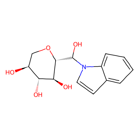 OC([C@H]1OC[C@H](O)[C@@H](O)[C@@H]1O)n1ccc2ccccc21